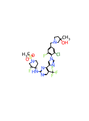 C[C@@]1(O)CCN(Cc2cc(F)c(-n3cnc(-c4nc(N[C@@H]5CCN(S(C)(=O)=O)C[C@H]5F)ncc4C(F)(F)F)c3)c(Cl)c2)C1